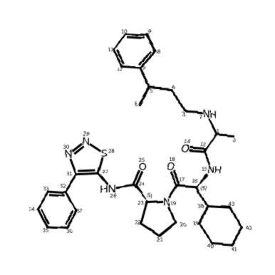 CC(NCCC(C)c1ccccc1)C(=O)N[C@H](C(=O)N1CCC[C@H]1C(=O)Nc1snnc1-c1ccccc1)C1CCCCC1